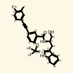 Cc1cc(C#Cc2ccc(OC(F)(F)F)c(C(=O)NC(CO)Cc3c[nH]c4ccccc34)c2)ccc1F